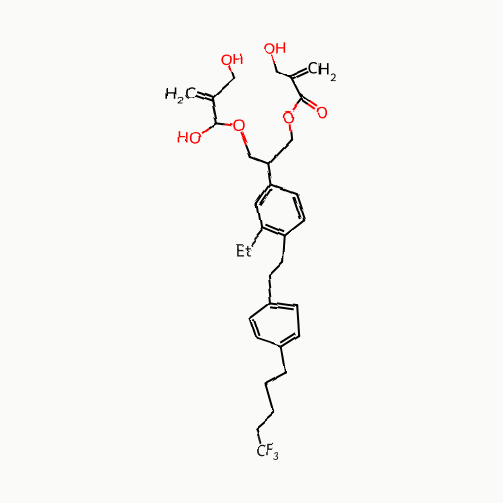 C=C(CO)C(=O)OCC(COC(O)C(=C)CO)c1ccc(CCc2ccc(CCCCC(F)(F)F)cc2)c(CC)c1